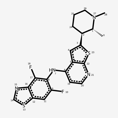 C[C@@H]1[C@@H](c2cc3c(Nc4c(F)cc5scnc5c4F)ccnc3s2)CCCN1C